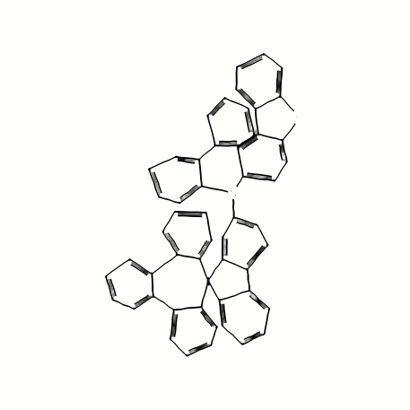 c1ccc(-c2ccccc2N(c2ccc3c(c2)C2(c4ccccc4-c4ccccc4-c4ccccc42)c2ccccc2-3)c2ccc3oc4ccccc4c3c2)cc1